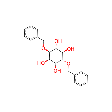 O[C@@H]1[C@@H](O)[C@H](OCc2ccccc2)[C@@H](O)[C@@H](O)[C@H]1OCc1ccccc1